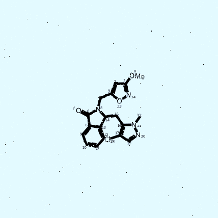 COc1cc(CN2C(=O)c3ccccc3C2Cc2c(Cl)cnn2C)on1